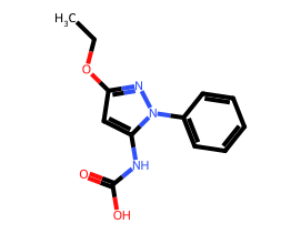 CCOc1cc(NC(=O)O)n(-c2ccccc2)n1